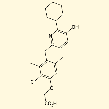 Cc1cc(OCC(=O)O)c(Cl)c(C)c1Cc1ccc(O)c(C2CCCCC2)n1